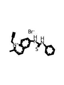 C#CC[n+]1c(C)ccc2cc(NC(=S)Nc3ccccc3)ccc21.[Br-]